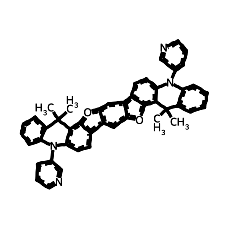 CC1(C)c2ccccc2N(c2cccnc2)c2ccc3c(oc4cc5c(cc43)oc3c4c(ccc35)N(c3cccnc3)c3ccccc3C4(C)C)c21